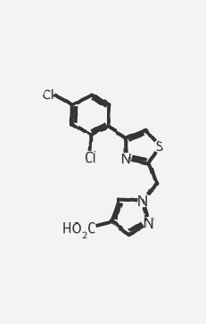 O=C(O)c1cnn(Cc2nc(-c3ccc(Cl)cc3Cl)cs2)c1